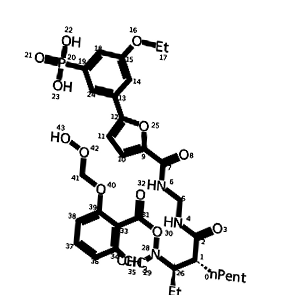 CCCCC[C@@H](C(=O)NCNC(=O)c1ccc(-c2cc(OCC)cc(P(=O)(O)O)c2)o1)[C@@H](CC)N(C=O)OC(=O)c1c(C)cccc1OCOO